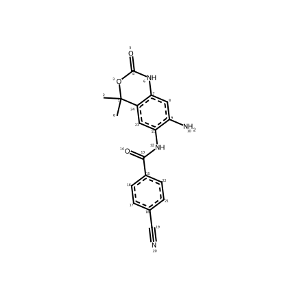 CC1(C)OC(=O)Nc2cc(N)c(NC(=O)c3ccc(C#N)cc3)cc21